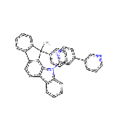 CC1(c2ccccc2)c2ccccc2-c2ccc3c4ccccc4n(-c4cc(-c5cccnc5)ccn4)c3c21